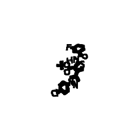 CC(C)(C)OC(=O)c1c(-c2cnn(-c3ccc(Cl)cc3)c2)csc1NC(=O)c1cccc(F)c1